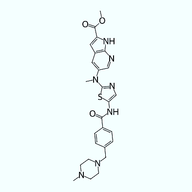 COC(=O)c1cc2cc(N(C)c3ncc(NC(=O)c4ccc(CN5CCN(C)CC5)cc4)s3)cnc2[nH]1